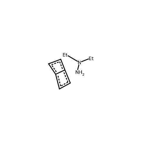 CCN(N)CC.c1cc2ccc1-2